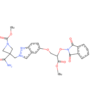 CC(C)(C)OC(=O)C(COc1ccc2nn(CC3(C(N)=O)CN(C(=O)OC(C)(C)C)C3)cc2c1)ON1C(=O)c2ccccc2C1=O